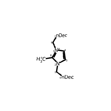 CCCCCCCCCCCn1cc[n+](CCCCCCCCCCC)c1C